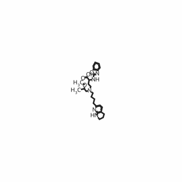 COC(C)CN(CCCCc1ccc2c(n1)NCCC2)CCC(Nc1nc2ccccc2o1)C(=O)O